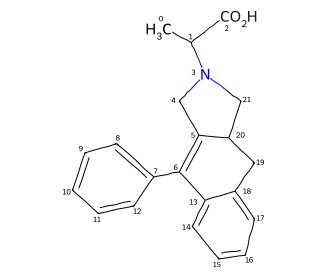 CC(C(=O)O)N1CC2=C(c3ccccc3)c3ccccc3CC2C1